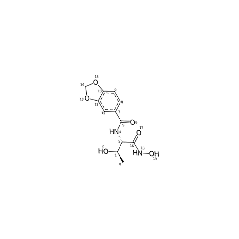 C[C@@H](O)[C@H](NC(=O)c1ccc2c(c1)OCO2)C(=O)NO